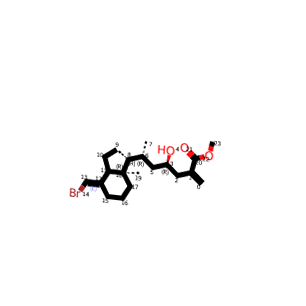 C=C(C[C@H](O)C[C@@H](C)[C@H]1CCC2/C(=C/Br)CCC[C@@]21C)C(=O)OC